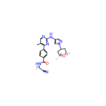 Cc1cnc(Nc2cnn(C3C[C@@H](C)O[C@@H](C)C3)c2)nc1-c1ccc(C(=O)N[C@@H](C)C#N)cc1